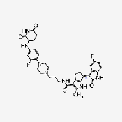 Cc1[nH]c2c(c1C(=O)NCCCN1CCN(c3ccc(NC4CCC(=O)NC4=O)cc3F)CC1)CC/C2=C1/C(=O)Nc2ccc(F)cc21